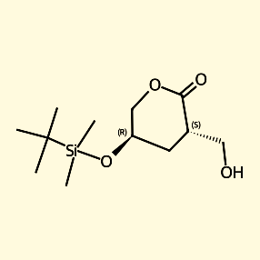 CC(C)(C)[Si](C)(C)O[C@H]1COC(=O)[C@H](CO)C1